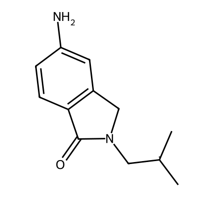 C[C](C)CN1Cc2cc(N)ccc2C1=O